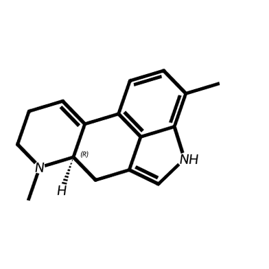 Cc1ccc2c3c(c[nH]c13)C[C@@H]1C2=CCCN1C